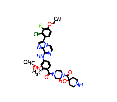 Cc1cc(Nc2nccn3c(-c4ccc(OCC#N)c(F)c4Cl)cnc23)ccc1C(=O)N1CCN(C(=O)C2(O)CCNCC2)CC1.O=CO